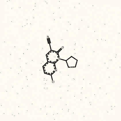 N#Cc1cc2ccc(Cl)nc2n(C2CCCC2)c1=O